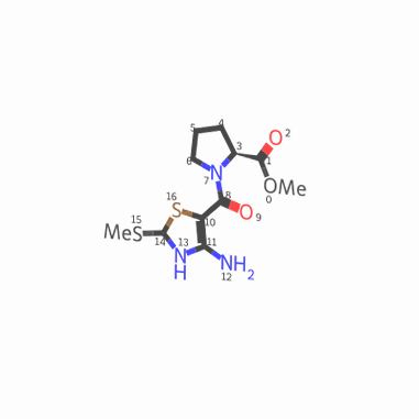 COC(=O)[C@@H]1CCCN1C(=O)C1=C(N)NC(SC)S1